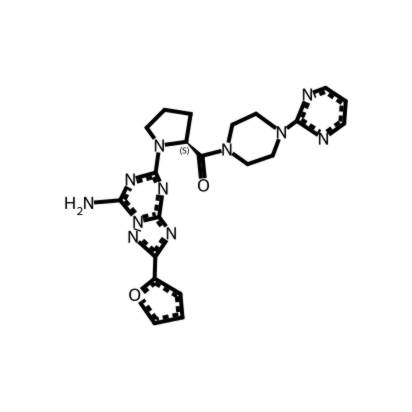 Nc1nc(N2CCC[C@H]2C(=O)N2CCN(c3ncccn3)CC2)nc2nc(-c3ccco3)nn12